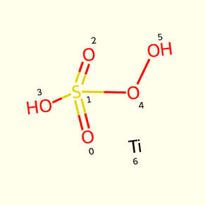 O=S(=O)(O)OO.[Ti]